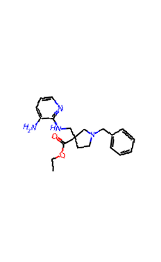 CCOC(=O)C1(CNc2ncccc2N)CCN(Cc2ccccc2)C1